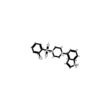 O=S(=O)(c1ccccc1Cl)N1CCN(c2cccc3[nH]ccc23)CC1